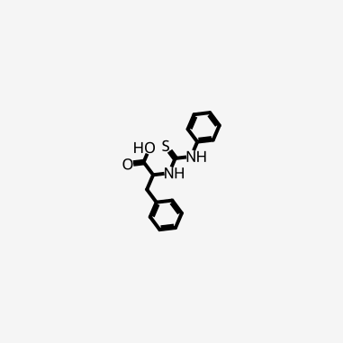 O=C(O)C(Cc1ccccc1)NC(=S)Nc1ccccc1